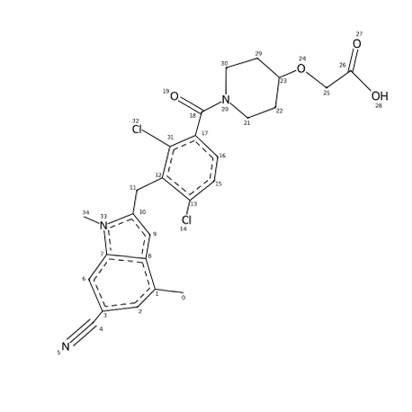 Cc1cc(C#N)cc2c1cc(Cc1c(Cl)ccc(C(=O)N3CCC(OCC(=O)O)CC3)c1Cl)n2C